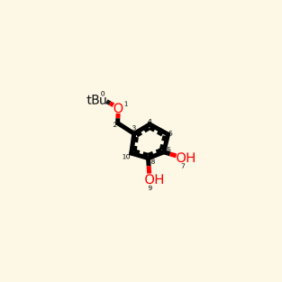 CC(C)(C)OCc1ccc(O)c(O)c1